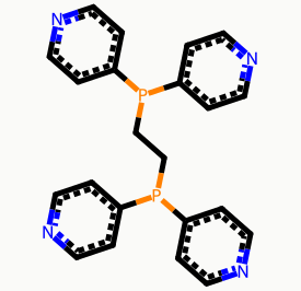 c1cc(P(CCP(c2ccncc2)c2ccncc2)c2ccncc2)ccn1